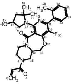 C=CC(=O)N1CCN2C(=O)c3c(N4CC(O)CC4(C)C)nc(-c4ccccc4C)c(F)c3OCC2C1